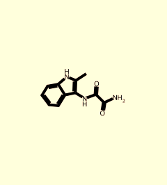 Cc1[nH]c2ccccc2c1NC(=O)C(N)=O